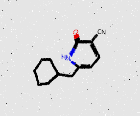 N#Cc1ccc(CC2CCCCC2)[nH]c1=O